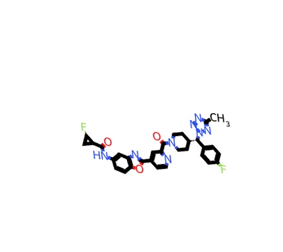 Cc1nnn([C@H](c2ccc(F)cc2)C2CCN(C(=O)c3cc(-c4nc5cc(NC(=O)C6C[C@@H]6F)ccc5o4)ccn3)CC2)n1